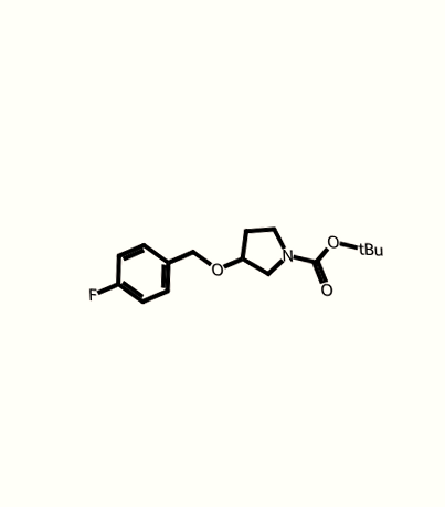 CC(C)(C)OC(=O)N1CCC(OCc2ccc(F)cc2)C1